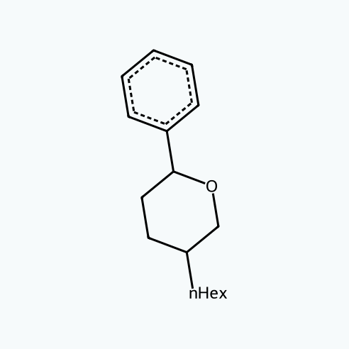 CCCCCCC1CCC(c2ccccc2)OC1